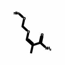 CCCCOCOC=C(C)C(N)=O